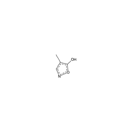 Cc1cnoc1O